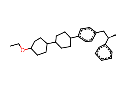 CCOC1CCC(C2CCC(c3ccc(C[C@@H](C)c4ccccc4)cc3)CC2)CC1